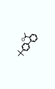 CC(=O)c1ccccc1-c1ccc(C(C)(C)C)cc1